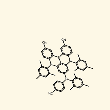 Cc1cc(C)c(N(c2ccc(C#N)cc2)c2cc3c4c(c2)N(c2c(C)cc(C)cc2C)c2ccc(C#N)cc2B4c2cc(C#N)ccc2N3c2c(C)cc(C)cc2C)c(C)c1